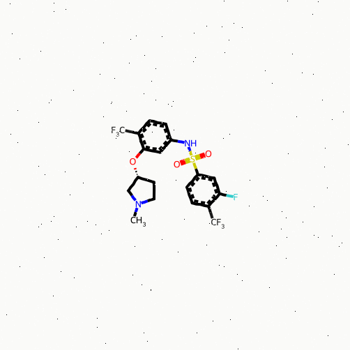 CN1CC[C@@H](Oc2cc(NS(=O)(=O)c3ccc(C(F)(F)F)c(F)c3)ccc2C(F)(F)F)C1